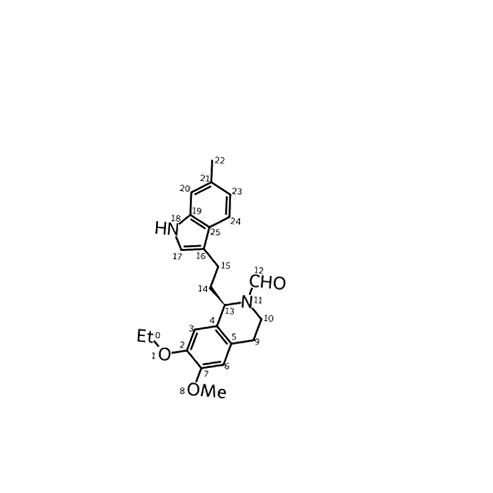 CCOc1cc2c(cc1OC)CCN(C=O)[C@@H]2CCc1c[nH]c2cc(C)ccc12